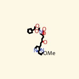 COc1ccc2nccc(CCC(=O)CCC3CN(C4=COC=C(C5=CC=CCC5)O4)C(=O)O3)c2n1